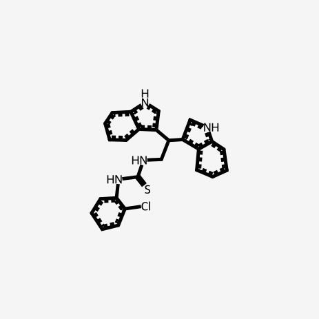 S=C(NCC(c1c[nH]c2ccccc12)c1c[nH]c2ccccc12)Nc1ccccc1Cl